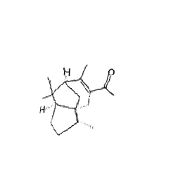 CC(=O)C1=C(C)[C@H]2C[C@@]3(C1)[C@H](C)CC[C@H]3C2(C)C